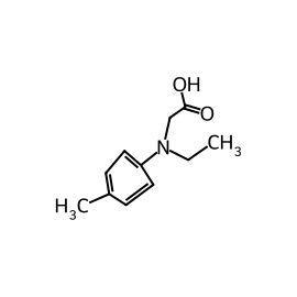 CCN(CC(=O)O)c1ccc(C)cc1